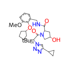 COc1cccc(CNC(=O)C2CC(O)CN2C(=O)[C@@H](n2cc(C3CC3)nn2)C(C)(C)C)c1OC1CCCC1